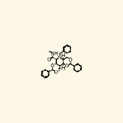 CNC(=O)[C@@H]1[C@@H](OC(=O)c2ccccc2)[C@H](F)[C@@H]2OC(c3ccccc3)OC[C@H]2N1Cc1ccccc1